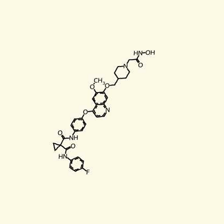 COc1cc2c(Oc3ccc(NC(=O)C4(C(=O)Nc5ccc(F)cc5)CC4)cc3)ccnc2cc1OCC1CCN(CC(=O)NO)CC1